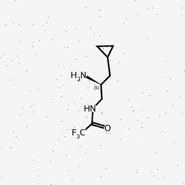 N[C@H](CNC(=O)C(F)(F)F)CC1CC1